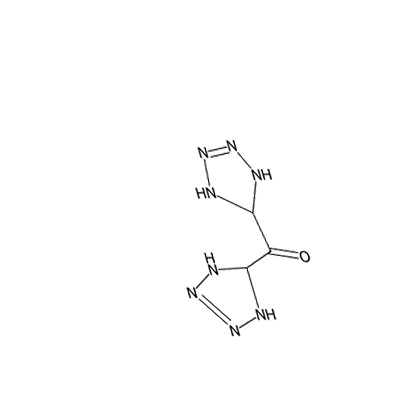 O=C(C1NN=NN1)C1NN=NN1